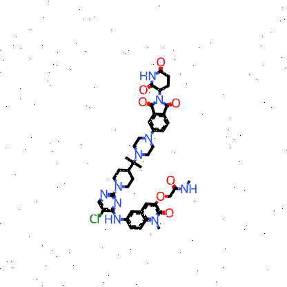 CNC(=O)COc1cc2cc(Nc3nc(N4CCC(C(C)(C)N5CCN(c6ccc7c(c6)C(=O)N(C6CCC(=O)NC6=O)C7=O)CC5)CC4)ncc3Cl)ccc2n(C)c1=O